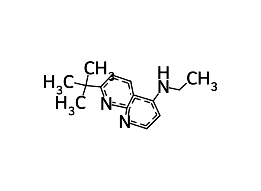 CCNc1ccnc2nc(C(C)(C)C)ccc12